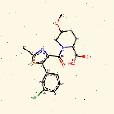 COC1CCC(C(=O)O)N(C(=O)c2nc(C)sc2-c2cccc(F)c2)C1